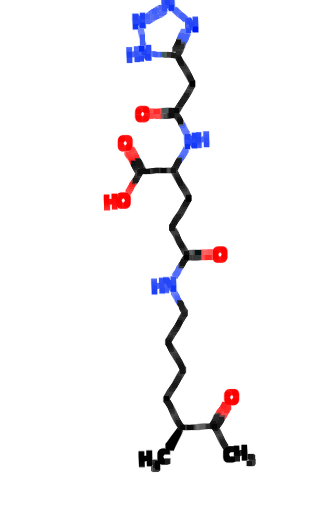 CC(=O)[C@@H](C)CCCCNC(=O)CCC(NC(=O)Cc1nnn[nH]1)C(=O)O